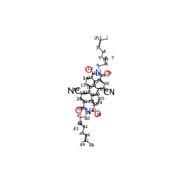 CC(C)=CCC[C@H](C)CCN1C(=O)c2ccc3c4c(C#N)cc5c6c(ccc(c7c(C#N)cc(c2c37)C1=O)c64)C(=O)N(CC[C@@H](C)CCC=C(C)C)C5=O